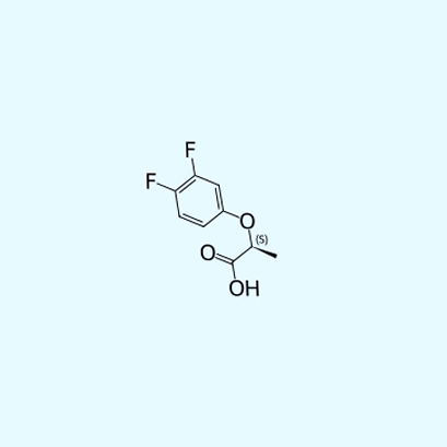 C[C@H](Oc1ccc(F)c(F)c1)C(=O)O